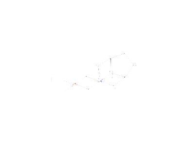 COCCN1C2CCC1CN(CCI)C2